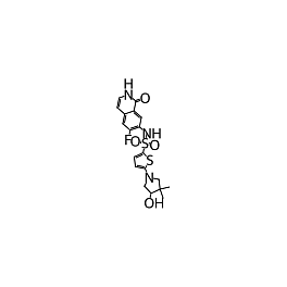 CC1(C)CN(c2ccc(S(=O)(=O)Nc3cc4c(=O)[nH]ccc4cc3F)s2)C[C@@H]1O